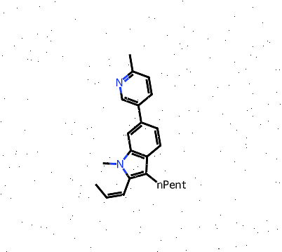 C/C=C\c1c(CCCCC)c2ccc(-c3ccc(C)nc3)cc2n1C